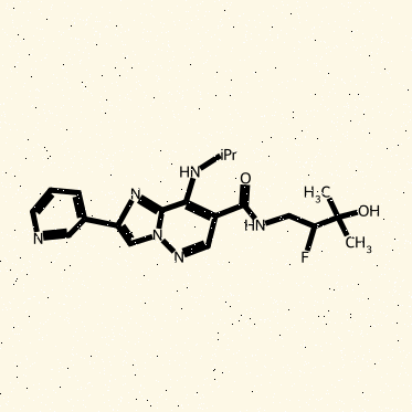 CC(C)Nc1c(C(=O)NCC(F)C(C)(C)O)cnn2cc(-c3cccnc3)nc12